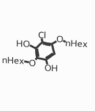 CCCCCCOc1cc(O)c(OCCCCCC)c(O)c1Cl